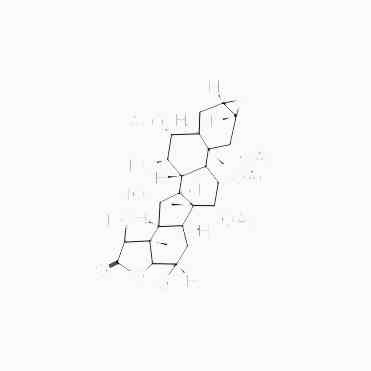 CC(=O)O[C@@H]1[C@H](O)[C@@H]2C([C@H](OC(C)=O)[C@H](OC(C)=O)[C@@]3(C)[C@H]2[C@@H](O)[C@@H]2[C@@H]3[C@H](C)[C@@H]3O[C@@]34OC(=O)[C@@](C)(O)[C@]24C)[C@]2(C)[C@@H]1C[C@@H]1O[C@@H]1[C@@H]2OC(C)=O